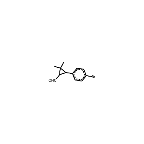 CC1(C)C(C=O)C1c1ccc(Br)cc1